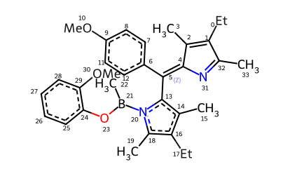 CCC1=C(C)/C(=C(\c2ccc(OC)cc2)c2c(C)c(CC)c(C)n2B(C)Oc2ccccc2OC)N=C1C